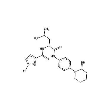 CC(C)C[C@H](NC(=O)c1ccc(Cl)s1)C(=O)Nc1ccc(N2CCCCC2=N)cc1